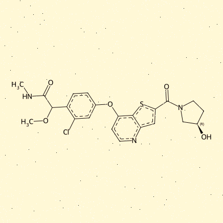 CNC(=O)C(OC)c1ccc(Oc2ccnc3cc(C(=O)N4CC[C@@H](O)C4)sc23)cc1Cl